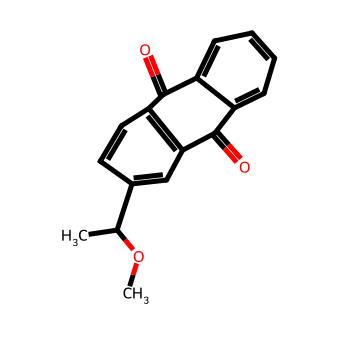 COC(C)c1ccc2c(c1)C(=O)c1ccccc1C2=O